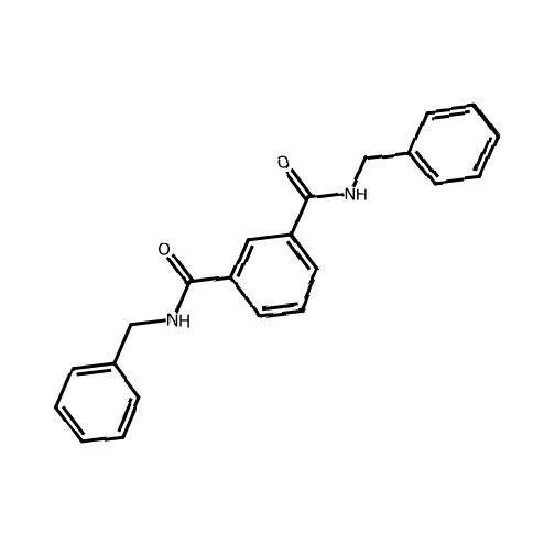 O=C(NCc1ccccc1)c1cccc(C(=O)NCc2ccccc2)c1